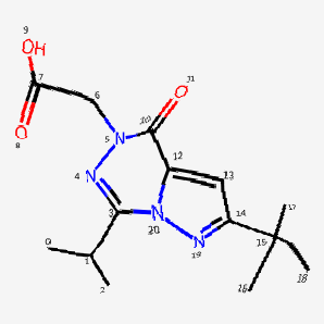 CC(C)c1nn(CC(=O)O)c(=O)c2cc(C(C)(C)C)nn12